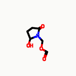 O=COCN1C(=O)CCC1O